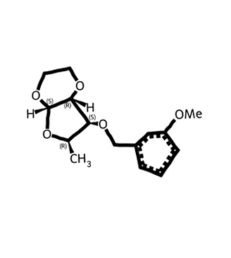 COc1cccc(CO[C@@H]2[C@H]3OCCO[C@H]3O[C@@H]2C)c1